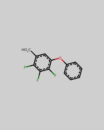 O=C(O)c1cc(Oc2ccccc2)c(F)c(F)c1F